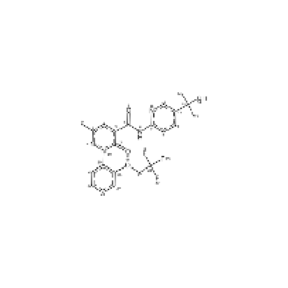 Cc1cc(C(=O)Nc2ccc(C(C)(C)O)cn2)c(=O)n(-c2ccccc2OCC(F)(F)F)n1